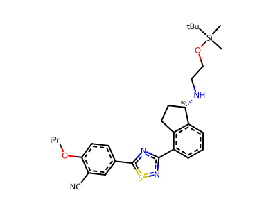 CC(C)Oc1ccc(-c2nc(-c3cccc4c3CC[C@@H]4NCCO[Si](C)(C)C(C)(C)C)ns2)cc1C#N